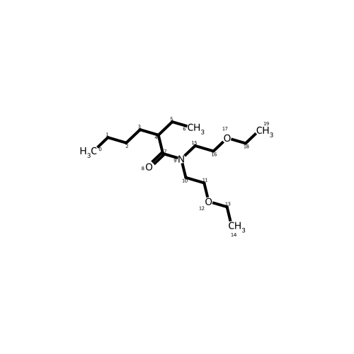 CCCCC(CC)C(=O)N(CCOCC)CCOCC